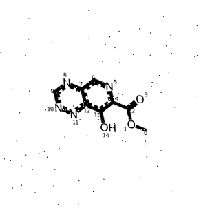 COC(=O)c1ncc2ncnnc2c1O